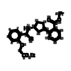 CCOC(=O)COc1ccccc1C(CC)N[C@@H]1CCN(c2ncccc2C(=O)OC(C)C)C1